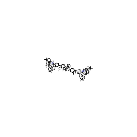 Cc1cc(NC(=O)c2ccc(C3=CCN(/C(=N/C(=O)OC(C)(C)C)NC(=O)OC(C)(C)C)CC3)c(F)c2)ccc1N1CCN(/C(=N/C(=O)OC(C)(C)C)NC(=O)OC(C)(C)C)CC1